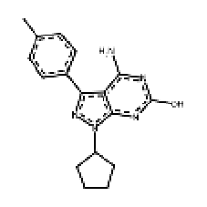 Cc1ccc(-c2nn(C3CCCC3)c3nc(O)nc(N)c23)cc1